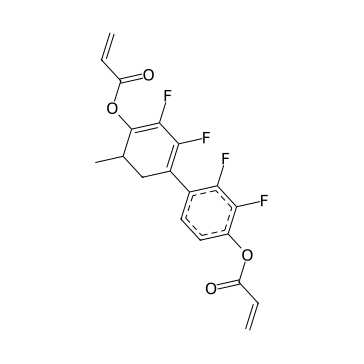 C=CC(=O)OC1=C(F)C(F)=C(c2ccc(OC(=O)C=C)c(F)c2F)CC1C